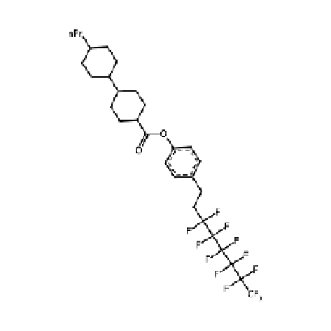 CCCC1CCC(C2CCC(C(=O)Oc3ccc(CCC(F)(F)C(F)(F)C(F)(F)C(F)(F)C(F)(F)C(F)(F)F)cc3)CC2)CC1